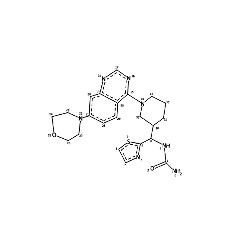 NC(=O)NC(c1nccs1)C1CCCN(c2ncnc3cc(N4CCOCC4)ccc23)C1